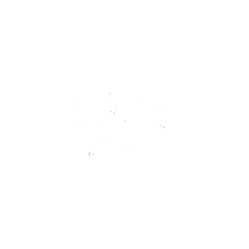 CNC(=O)[C@@H]1CCCCN1C1CCNCC1